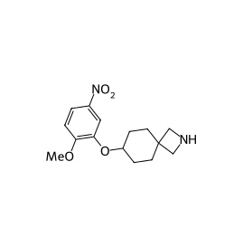 COc1ccc([N+](=O)[O-])cc1OC1CCC2(CC1)CNC2